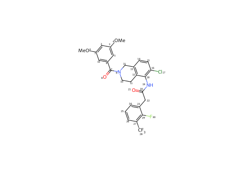 COc1cc(OC)cc(C(=O)N2CCc3c(ccc(Cl)c3NC(=O)Cc3cccc(C(F)(F)F)c3F)C2)c1